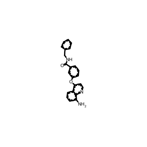 Nc1cccc2c(Oc3cccc(C(=O)NCc4ccccc4)c3)ccnc12